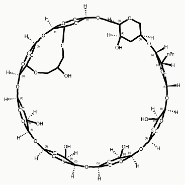 CCC[C@@H]1C[C@H]2CS[C@@H]1O[C@@H]1CO[C@H](O[C@@H]3CO[C@@H]4O[C@@H]5CO[C@H](O[C@@H]6CO[C@H](O[C@@H]7CS[C@H](O[C@@H]8CO[C@H](O[C@@H]9CO[C@H](O2)[C@H](O)C9)[C@H](O)C8)[C@H](O)C7)[C@H](O)C6)C(C5)OCC(O)CCC4C3)[C@H](O)C1